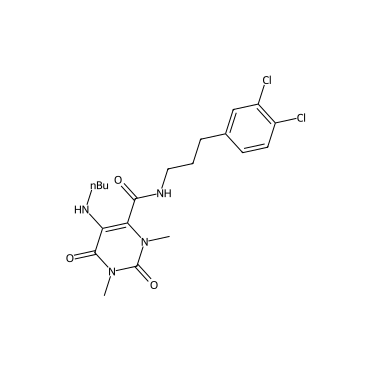 CCCCNc1c(C(=O)NCCCc2ccc(Cl)c(Cl)c2)n(C)c(=O)n(C)c1=O